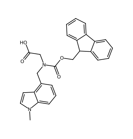 Cn1ccc2c(CN(CC(=O)O)C(=O)OCC3c4ccccc4-c4ccccc43)cccc21